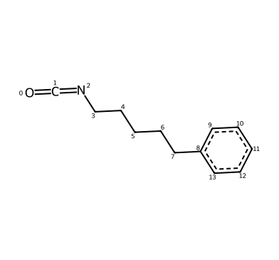 O=C=NCCCCCc1ccccc1